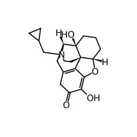 O=C1CC2=C3C(=C1O)O[C@H]1CCC[C@@]4(O)[C@@H](C2)N(CC2CC2)CC[C@]314